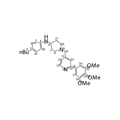 CCCCc1ccc(NC2CCN(Cc3ccnc(-c4cc(OC)c(OC)c(OC)c4)c3)CC2)cc1